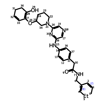 C/C=C\C(=C/CC)CNC(=O)Cc1ccc(Nc2cncc(N3CCCC(OC4=C(O)CCC=C4)C3)n2)cc1